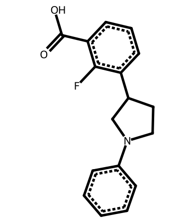 O=C(O)c1cccc(C2CCN(c3ccccc3)C2)c1F